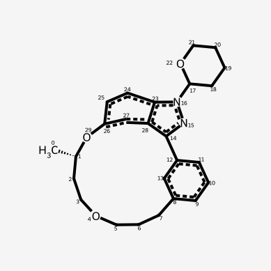 C[C@H]1CCOCCCc2cccc(c2)-c2nn(C3CCCCO3)c3ccc(cc23)O1